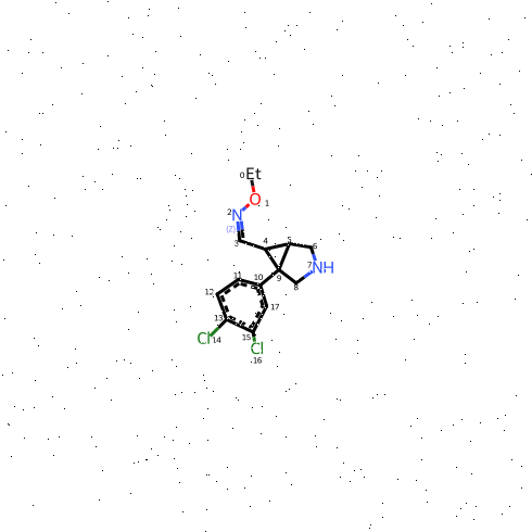 CCO/N=C\C1C2CNCC12c1ccc(Cl)c(Cl)c1